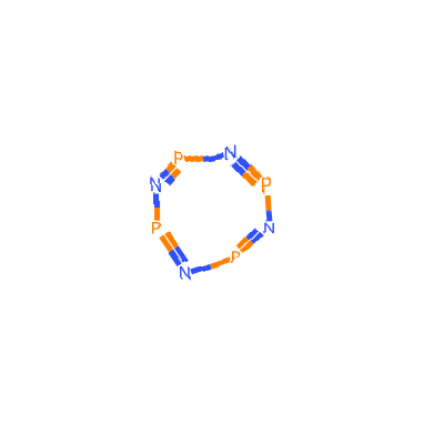 N1=P\N=P/N=P\N=P/1